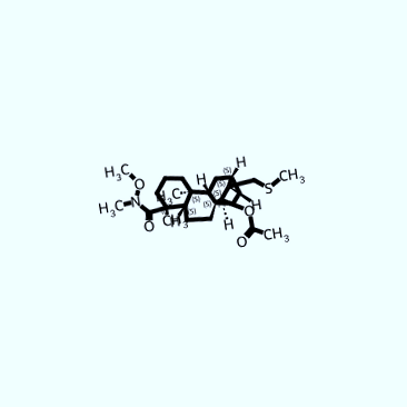 CON(C)C(=O)[C@]1(C)CCC[C@@]2(C)[C@@H]3C[C@@H]4CC[C@@]3(CC[C@@H]21)[C@H](OC(C)=O)[C@H]4CSC